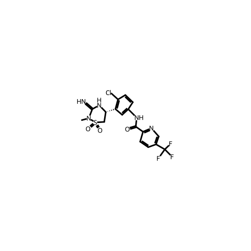 CN1C(=N)N[C@H](c2cc(NC(=O)c3ccc(C(F)(F)F)cn3)ccc2Cl)CS1(=O)=O